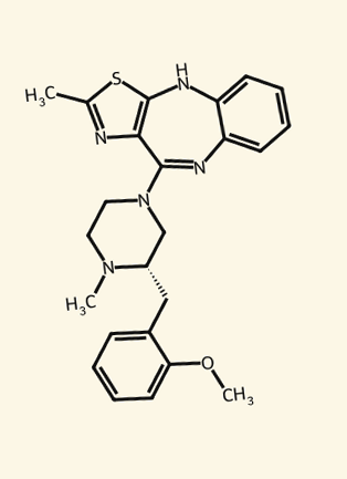 COc1ccccc1C[C@H]1CN(C2=Nc3ccccc3Nc3sc(C)nc32)CCN1C